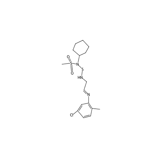 Cc1ccc(Cl)cc1N=CCNSN(C1CCCCC1)S(C)(=O)=O